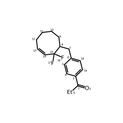 CCC(=O)c1ccc(CC2CCCC/C=C\C2(F)F)cc1